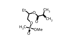 C=C(C)C(=O)OC(CC)COP(C)(=O)OC